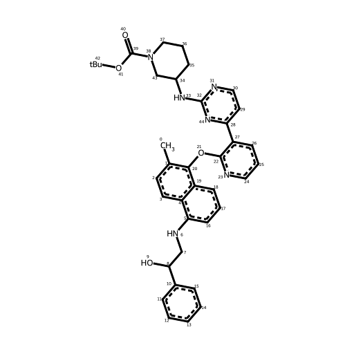 Cc1ccc2c(NCC(O)c3ccccc3)cccc2c1Oc1ncccc1-c1ccnc(NC2CCCN(C(=O)OC(C)(C)C)C2)n1